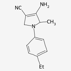 CCc1ccc(N2CC(C#N)=C(N)C2C)cc1